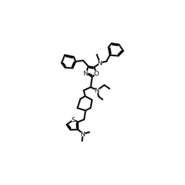 CCN(CC)C(CC1CCC(Cc2sccc2N(C)C)CC1)c1nc(Cc2ccccc2)c(N(C)Cc2ccccc2)o1